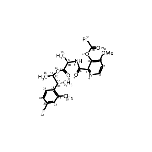 COc1ccnc(C(=O)N[C@H](C)C(=O)O[C@H](C)[C@H](C)c2ccc(F)cc2C)c1OC(=O)C(C)C